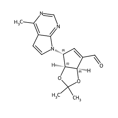 Cc1ncnc2c1ccn2[C@@H]1C=C(C=O)[C@H]2OC(C)(C)O[C@H]21